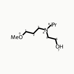 COCCCN(CCO)C(C)C